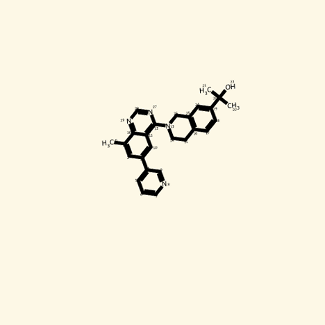 Cc1cc(-c2cccnc2)cc2c(N3CCc4ccc(C(C)(C)O)cc4C3)ncnc12